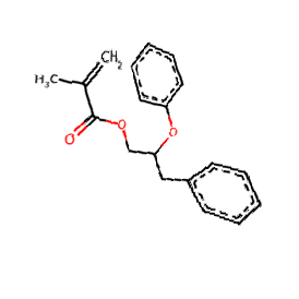 C=C(C)C(=O)OCC(Cc1ccccc1)Oc1ccccc1